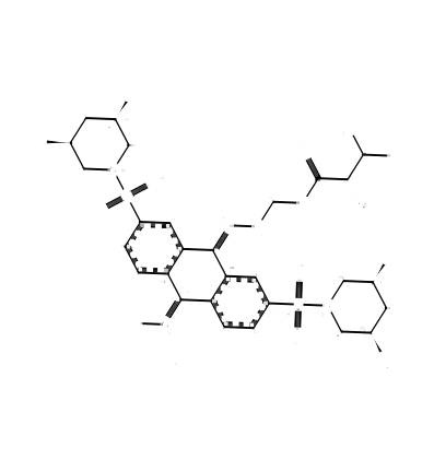 CC(C)[C@H](N)C(=O)OCON=C1c2cc(S(=O)(=O)N3C[C@H](C)C[C@H](C)C3)ccc2C(=NO)c2ccc(S(=O)(=O)N3C[C@H](C)C[C@H](C)C3)cc21.Cl